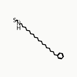 S=[C]NCCCCCCCCCCCCCCCCCCc1ccccc1